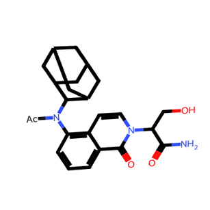 CC(=O)N(c1cccc2c(=O)n(C(CO)C(N)=O)ccc12)C1C2CC3CC(C2)CC1C3